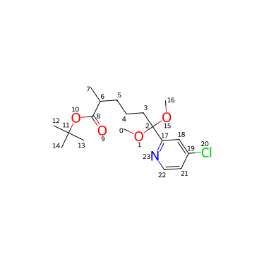 COC(CCCC(C)C(=O)OC(C)(C)C)(OC)c1cc(Cl)ccn1